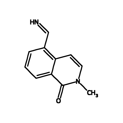 Cn1ccc2c(C=N)cccc2c1=O